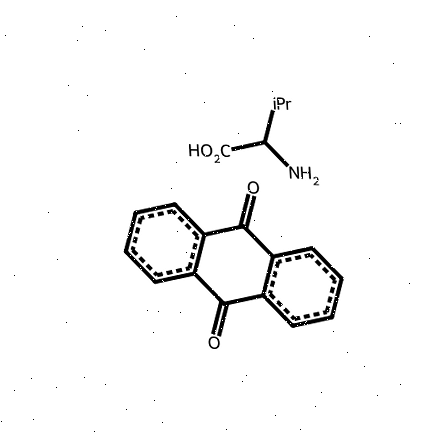 CC(C)C(N)C(=O)O.O=C1c2ccccc2C(=O)c2ccccc21